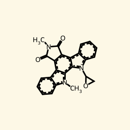 CN1C(=O)c2c(c3c4ccccc4n(C4CO4)c3c3c2c2ccccc2n3C)C1=O